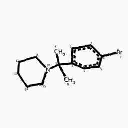 CC(C)(c1ccc(Br)cc1)N1CCCCC1